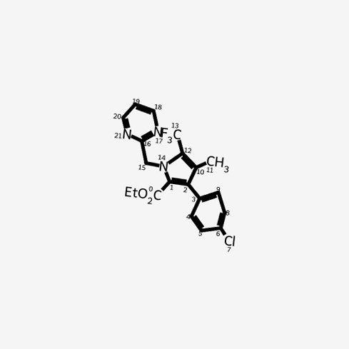 CCOC(=O)c1c(-c2ccc(Cl)cc2)c(C)c(C(F)(F)F)n1Cc1ncccn1